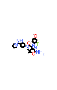 COc1ccc(-n2nc(C(N)=O)c3c2C(=O)N(c2ccc(C(=N)N4CCCC4)cc2)CC32CC2)c(F)c1